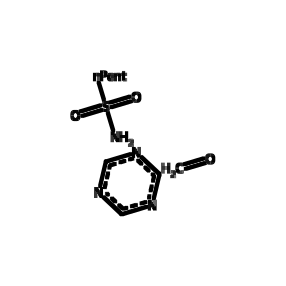 C=O.CCCCCS(N)(=O)=O.c1ncncn1